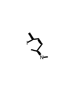 C=C(I)/C=C\C(C)=N/C